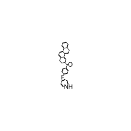 C1=CC=CNC=C1.O=C(c1ccc(F)cc1)C1C=c2c(ccc3c2=CCc2ccccc2-3)CC1